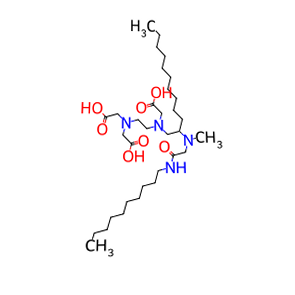 CCCCCCCCCCNC(=O)CN(C)C(CCCCCCCCCC)CN(CCN(CC(=O)O)CC(=O)O)CC(=O)O